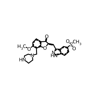 COc1ccc2c(c1CN1CCNCC1)O/C(=C\c1n[nH]c3ccc(S(C)(=O)=O)cc13)C2=O